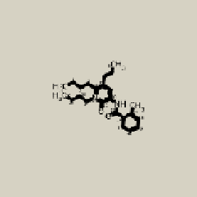 CCCCc1c(CCC)cc(NC(=O)C2CC=CC=C2C)c(=O)n1CCCC